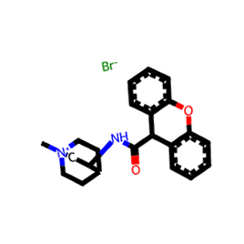 C[N+]12CCC(CC1)C(NC(=O)C1c3ccccc3Oc3ccccc31)C2.[Br-]